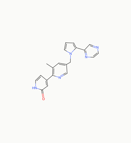 Cc1cc(Cn2cccc2-c2cnccn2)cnc1-c1cc[nH]c(=O)c1